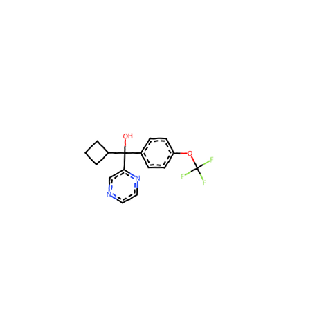 OC(c1ccc(OC(F)(F)F)cc1)(c1cnccn1)C1CCC1